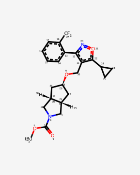 CC(C)(C)OC(=O)N1C[C@H]2C[C@H](OCc3c(-c4ccccc4C(F)(F)F)noc3C3CC3)C[C@H]2C1